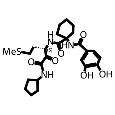 CSCC[C@H](NC(=O)C1(NC(=O)c2ccc(O)c(O)c2)CCCCC1)C(=O)C(=O)NC1CCCC1